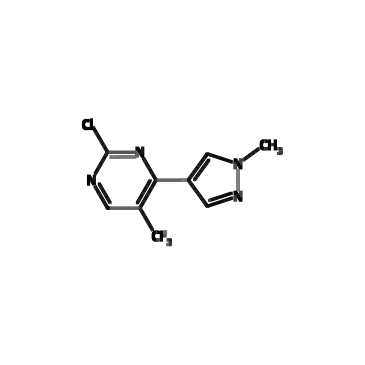 Cn1cc(-c2nc(Cl)ncc2C(F)(F)F)cn1